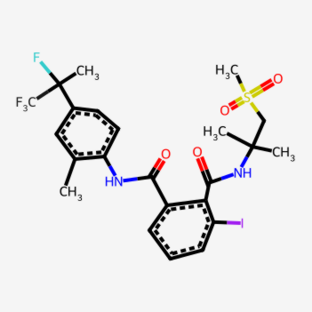 Cc1cc(C(C)(F)C(F)(F)F)ccc1NC(=O)c1cccc(I)c1C(=O)NC(C)(C)CS(C)(=O)=O